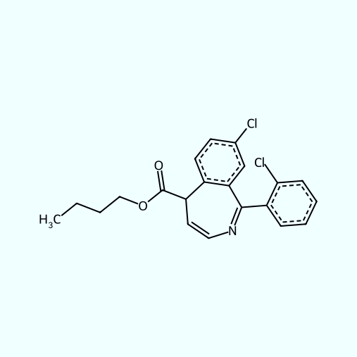 CCCCOC(=O)C1C=CN=C(c2ccccc2Cl)c2cc(Cl)ccc21